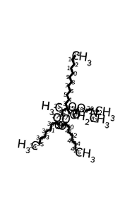 [CH2]CC(CCCCCCCCCCCC)(OC(=O)OCCN(C)C)C(C)C(OC(=O)CCCCCCC)OC(=O)CCCCCCC